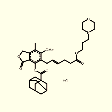 COc1c(C)c2c(c(OC(=O)C34CC5CC(CC(C5)C3)C4)c1CC=CCCC(=O)OCCCN1CCOCC1)C(=O)OC2.Cl